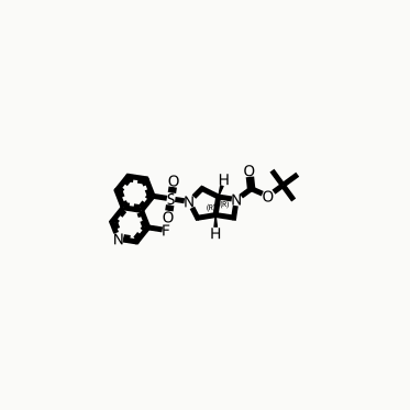 CC(C)(C)OC(=O)N1C[C@@H]2CN(S(=O)(=O)c3cccc4cncc(F)c34)C[C@@H]21